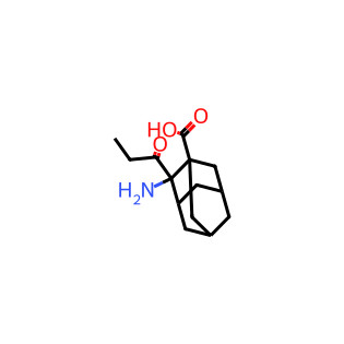 CCC(=O)C1(N)C2CC3CC(C2)CC1(C(=O)O)C3